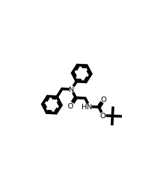 CC(C)(C)OC(=O)NCC(=O)N(Cc1ccccc1)c1ccccc1